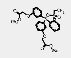 CC(C)(C)OC(=O)COc1cccc(S(OS(=O)(=O)CC(F)(F)F)(c2ccccc2)c2cccc(OCC(=O)OC(C)(C)C)c2)c1